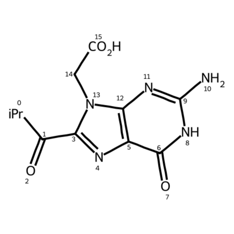 CC(C)C(=O)c1nc2c(=O)[nH]c(N)nc2n1CC(=O)O